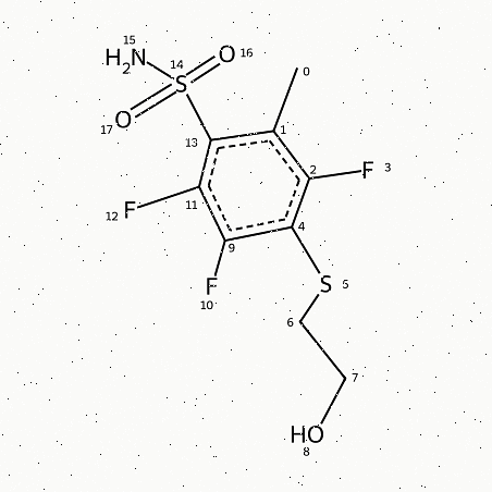 Cc1c(F)c(SCCO)c(F)c(F)c1S(N)(=O)=O